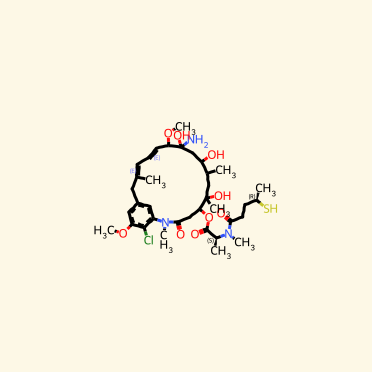 COc1cc2cc(c1Cl)N(C)C(=O)CC(OC(=O)[C@H](C)N(C)C(=O)CC[C@@H](C)S)C(C)(O)CC(C)C(O)CC(N)(O)C(OC)/C=C/C=C(\C)C2